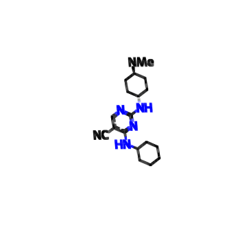 CN[C@H]1CC[C@H](Nc2ncc(C#N)c(NC3CCCCC3)n2)CC1